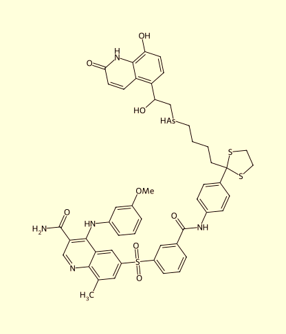 COc1cccc(Nc2c(C(N)=O)cnc3c(C)cc(S(=O)(=O)c4cccc(C(=O)Nc5ccc(C6(CCCC[AsH]CC(O)c7ccc(O)c8[nH]c(=O)ccc78)SCCS6)cc5)c4)cc23)c1